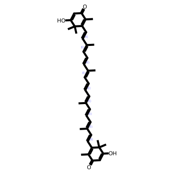 CC1=C(/C=C/C(C)=C/C=C/C(C)=C/C=C/C=C(C)/C=C/C=C(C)/C=C/C2=C(C)C(=O)C=C(O)C2(C)C)C(C)(C)C(O)=CC1=O